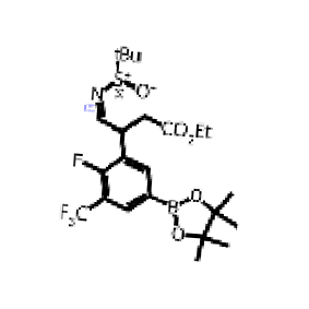 CCOC(=O)CC(/C=N\[S@+]([O-])C(C)(C)C)c1cc(B2OC(C)(C)C(C)(C)O2)cc(C(F)(F)F)c1F